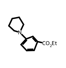 CCOC(=O)c1cccc(N2CCCCC2)c1